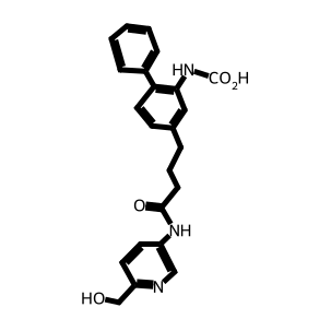 O=C(O)Nc1cc(CCCC(=O)Nc2ccc(CO)nc2)ccc1-c1ccccc1